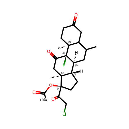 CCCCC(=O)O[C@]1(C(=O)CCl)CC[C@H]2[C@@H]3CC(C)C4CC(=O)CC[C@]4(C)[C@@]3(F)C(=O)C[C@@]21C